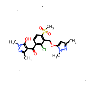 Cc1cc(OCc2c(S(C)(=O)=O)ccc(C(=O)c3c(C)nn(C)c3O)c2Cl)n(C)n1